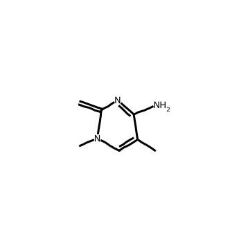 C=C1N=C(N)C(C)=CN1C